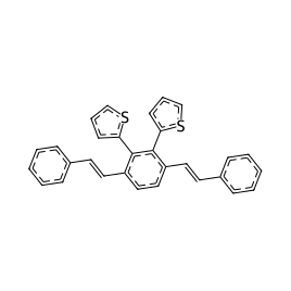 C(=Cc1ccc(C=Cc2ccccc2)c(-c2cccs2)c1-c1cccs1)c1ccccc1